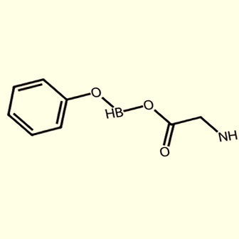 NCC(=O)OBOc1ccccc1